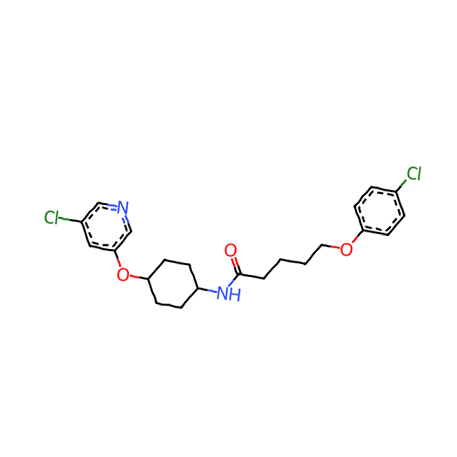 O=C(CCCCOc1ccc(Cl)cc1)NC1CCC(Oc2cncc(Cl)c2)CC1